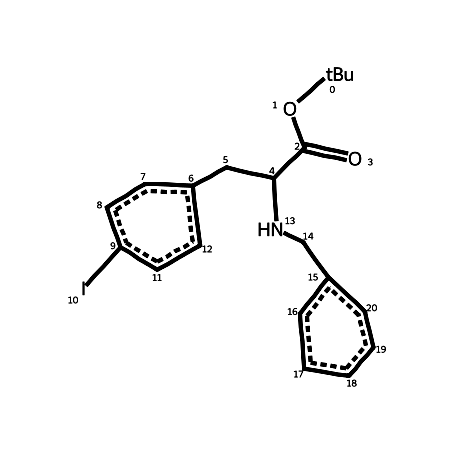 CC(C)(C)OC(=O)C(Cc1ccc(I)cc1)NCc1ccccc1